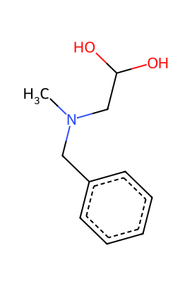 CN(Cc1ccccc1)CC(O)O